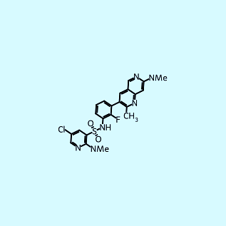 CNc1cc2nc(C)c(-c3cccc(NS(=O)(=O)c4cc(Cl)cnc4NC)c3F)cc2cn1